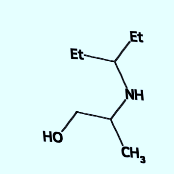 CCC(CC)NC(C)CO